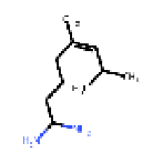 CC(=CC(C)C)CCCC(N)N